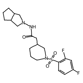 O=C(CC1CCCN(S(=O)(=O)c2ccc(F)cc2F)C1)NN1CC2CCCC2C1